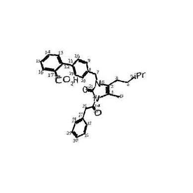 Cc1c(CCC(C)C)n(Cc2ccc(-c3ccccc3C(=O)O)cc2)c(=O)n1C(=O)Cc1ccccc1